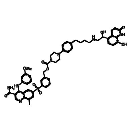 COc1cccc(Nc2c(C(N)=O)cnc3c(C)cc(S(=O)(=O)c4cccc(COC(=O)N5CCN(c6ccc(CCCCNCC(O)c7ccc(O)c8[nH]c(=O)ccc78)cc6)CC5)c4)cc23)c1